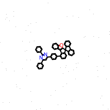 c1ccc(-c2cc(-c3ccc(-c4cccc5c4-c4c(oc6ccccc46)C54c5ccccc5-c5ccccc54)cc3)nc(-c3ccccc3)n2)cc1